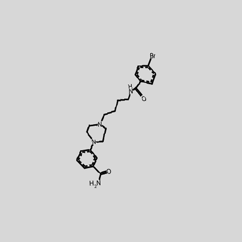 NC(=O)c1cccc(N2CCN(CCCCNC(=O)c3ccc(Br)cc3)CC2)c1